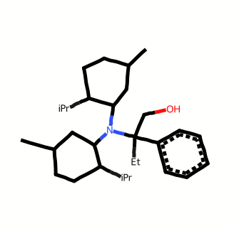 CCC(CO)(c1ccccc1)N(C1CC(C)CCC1C(C)C)C1CC(C)CCC1C(C)C